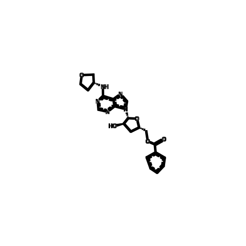 O=C(OC[C@@H]1C[C@@H](O)[C@H](n2cnc3c(N[C@@H]4CCOC4)ncnc32)O1)c1ccccc1